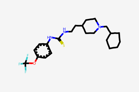 FC(F)(F)Oc1ccc(NC(=S)NCCC2CCN(CC3CCCCC3)CC2)cc1